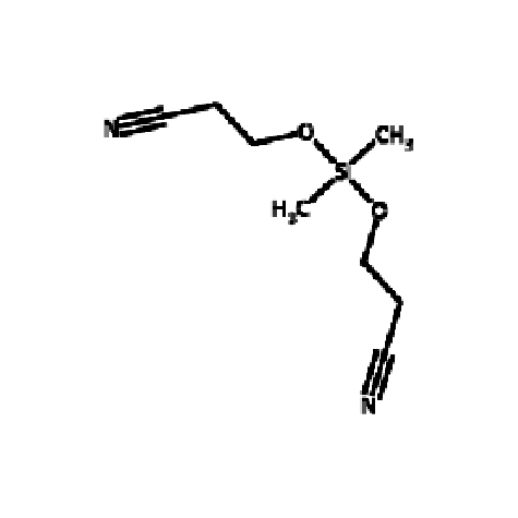 C[Si](C)(OCCC#N)OCCC#N